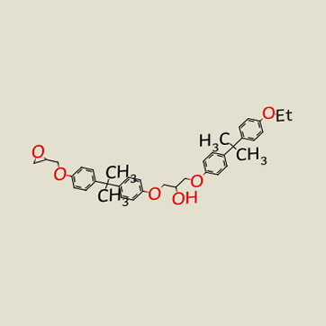 CCOc1ccc(C(C)(C)c2ccc(OCC(O)COc3ccc(C(C)(C)c4ccc(OCC5CO5)cc4)cc3)cc2)cc1